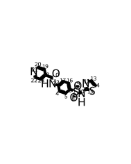 O=C(Nc1ccc(S(=O)(=O)Nc2nccs2)cc1)c1ccncc1